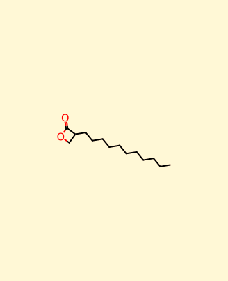 CCCCCCCCCCCC1COC1=O